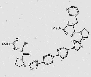 COC(=O)N[C@@H](Cc1cccnc1)C(=O)N1CCC[C@H]1c1ncc(-c2ccc(-c3ccc(-c4cnc([C@@H]5CCCN5C(=O)[C@@H](NC(=O)OC)C(C)C)[nH]4)cc3)cc2)[nH]1